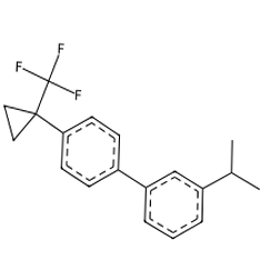 CC(C)c1cccc(-c2ccc(C3(C(F)(F)F)CC3)cc2)c1